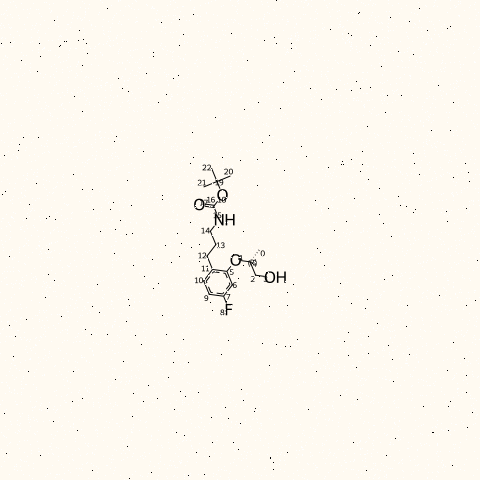 C[C@H](CO)Oc1cc(F)ccc1CCCNC(=O)OC(C)(C)C